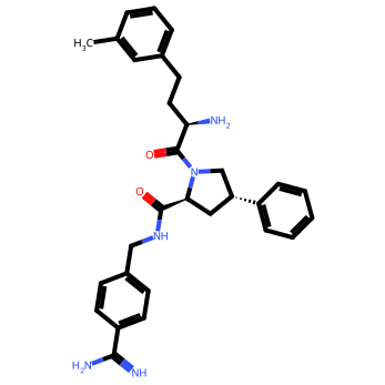 Cc1cccc(CC[C@@H](N)C(=O)N2C[C@H](c3ccccc3)C[C@H]2C(=O)NCc2ccc(C(=N)N)cc2)c1